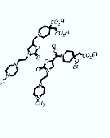 CCOC(=O)CC1(OCC)CCN(C(=C=O)C2CN(CCN3CCN(C)CC3)C(=O)O2)CC1.CN1CCN(CCN2CC(CN3CCC(CC(=O)O)(C(=O)O)CC3)OC2=O)CC1